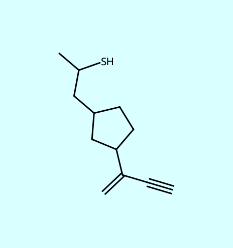 C#CC(=C)C1CCC(CC(C)S)C1